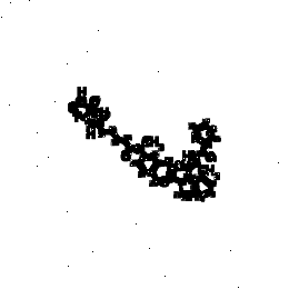 Cc1ccccc1N(C(=O)CNC(=O)c1cnccn1)[C@H](CC(C)C)B1OCc2ccc(N(C)C(=O)CCCCC(=O)NC(P=O)P(=O)(O)O)cc2CO1